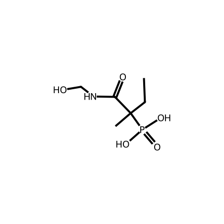 CCC(C)(C(=O)NCO)P(=O)(O)O